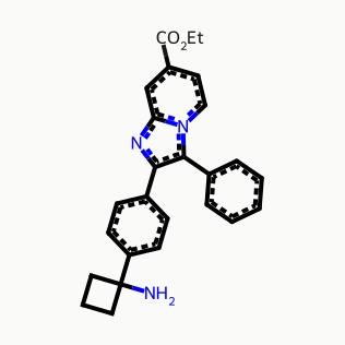 CCOC(=O)c1ccn2c(-c3ccccc3)c(-c3ccc(C4(N)CCC4)cc3)nc2c1